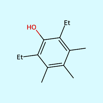 CCc1c(C)c(C)c(C)c(CC)c1O